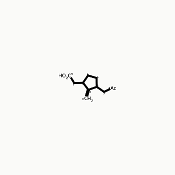 C=C1C(CC(C)=O)CCC1CC(=O)O